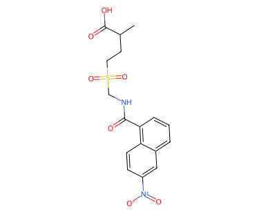 CC(CCS(=O)(=O)CNC(=O)c1cccc2cc([N+](=O)[O-])ccc12)C(=O)O